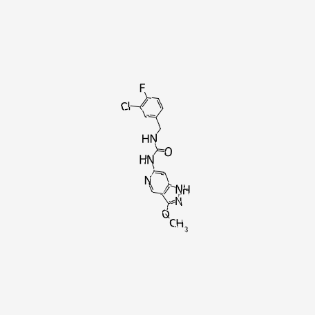 COc1n[nH]c2cc(NC(=O)NCc3ccc(F)c(Cl)c3)ncc12